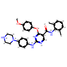 COc1ccc(Oc2nc(Nc3ccc(N4CCNCC4)cc3)ncc2C(=O)Nc2c(C)cccc2C)cc1